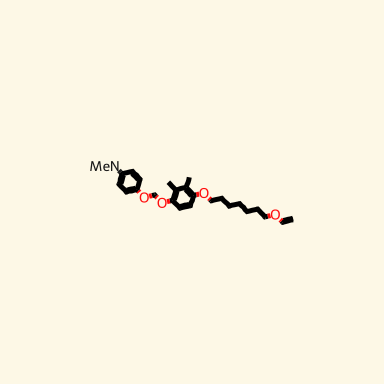 C=COCCCCCCCOc1ccc(OCOc2ccc(NC)cc2)c(C)c1C